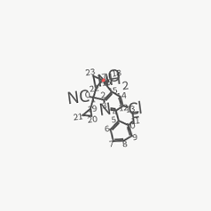 N#CC(c1nc(-c2ccccc2F)c(Cl)cc1C(N)=O)(C1CC1)C1CC1